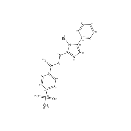 CCn1c(SCC(=O)c2ccc(S(C)(=O)=O)cc2)nnc1-c1ccccc1